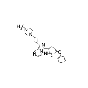 CN1CCN(C2CC(C3=C4C=NC=C[N+]4(N)C(c4ccc(Oc5ccccc5)cc4)=N3)C2)CC1